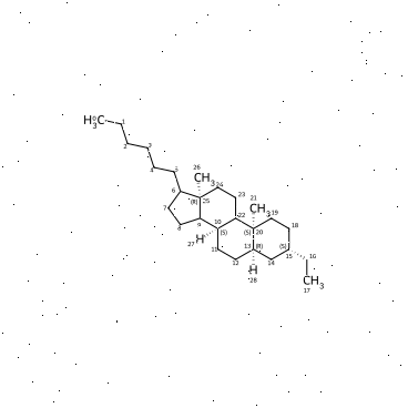 CCCCCCC1CCC2[C@@H]3CC[C@@H]4C[C@@H](CC)CC[C@]4(C)C3CC[C@]12C